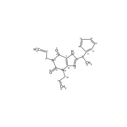 C=CCn1c(=O)c2[nH]c(C(C)c3ccccc3)nc2n(CC=C)c1=O